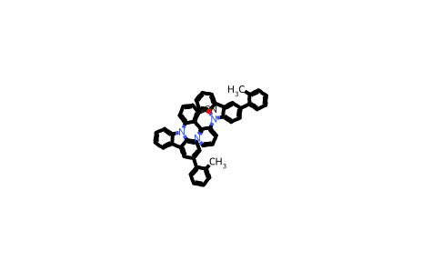 Cc1ccccc1-c1ccc2c(c1)c1ccccc1n2-c1cccnc1-c1c(C#N)cccc1-n1c2ccccc2c2cc(-c3ccccc3C)ccc21